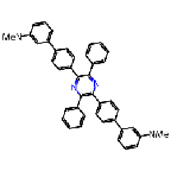 CNc1cccc(-c2ccc(-c3nc(-c4ccccc4)c(-c4ccc(-c5cccc(NC)c5)cc4)nc3-c3ccccc3)cc2)c1